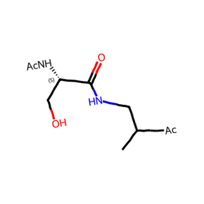 CC(=O)N[C@@H](CO)C(=O)NCC(C)C(C)=O